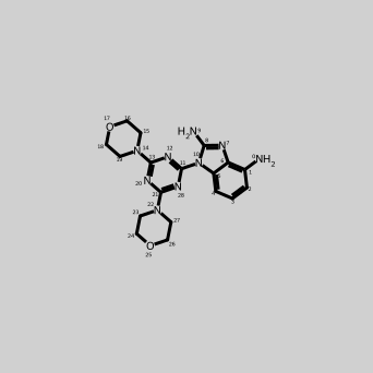 Nc1cccc2c1nc(N)n2-c1nc(N2CCOCC2)nc(N2CCOCC2)n1